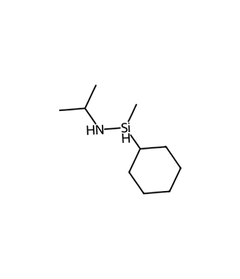 CC(C)N[SiH](C)C1CCCCC1